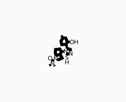 Cc1ccc(-c2cnc(S)n2-c2cccc3c2ccn3C(=O)N(C)C)c(O)c1